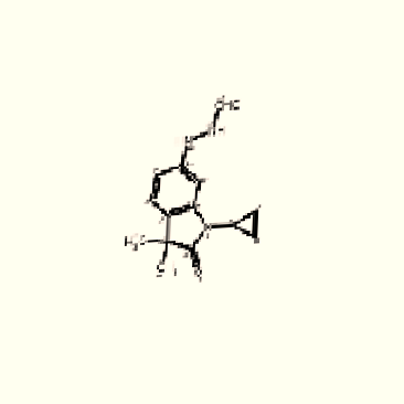 CC1(C)C(=O)N(C2CC2)c2cc(NNC=O)ccc21